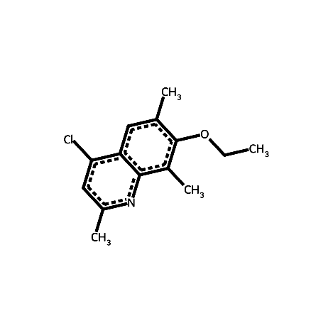 CCOc1c(C)cc2c(Cl)cc(C)nc2c1C